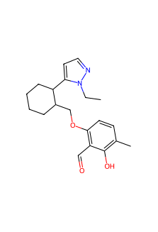 CCn1nccc1C1CCCCC1COc1ccc(C)c(O)c1C=O